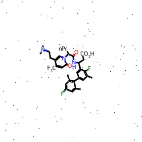 CCCC(C(=O)NC(CC(=O)O)c1cc(-c2c(C)cc(F)cc2C)cc(C)c1F)n1cc(CCN(C)C)c(C(F)(F)F)cc1=O